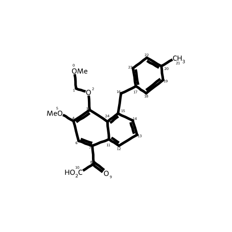 COCOc1c(OC)cc(C(=O)C(=O)O)c2cccc(Cc3ccc(C)cc3)c12